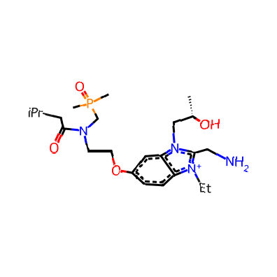 CC[n+]1c(CN)n(C[C@H](C)O)c2cc(OCCN(CP(C)(C)=O)C(=O)CC(C)C)ccc21